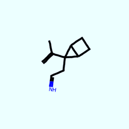 C=C(C)C1(CC=N)C2CCC21